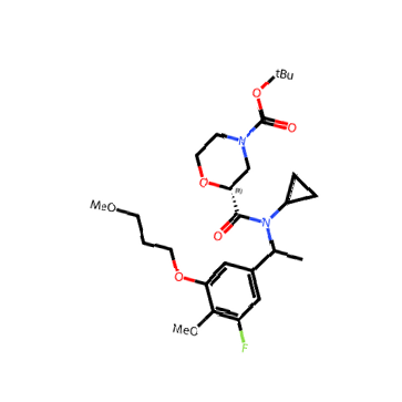 COCCCOc1cc(C(C)N(C(=O)[C@H]2CN(C(=O)OC(C)(C)C)CCO2)C2CC2)cc(F)c1OC